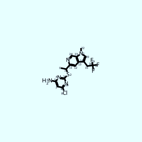 CC(Sc1nc(N)cc(Cl)n1)c1cc2c(CC(F)(F)F)cn(C)c2cn1